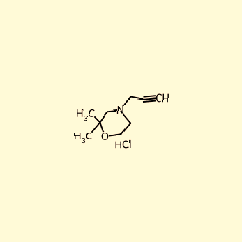 C#CCN1CCOC(C)(C)C1.Cl